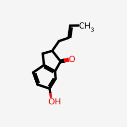 CC=CCC1Cc2ccc(O)cc2C1=O